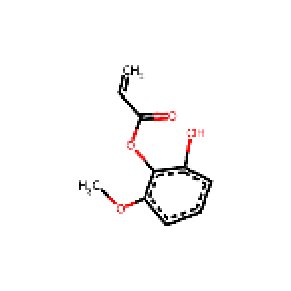 C=CC(=O)Oc1c(O)cccc1OC